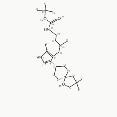 Cc1[nH]nc([C@H]2CC[C@]3(CC2)CC(C)(C)CO3)c1CN(C)CCNC(=O)OC(C)(C)C